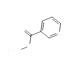 CCCCCOC(=O)c1cccnc1